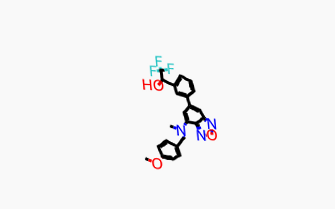 COc1ccc(CN(C)c2cc(-c3cccc(C(O)C(F)(F)F)c3)cc3nonc23)cc1